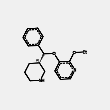 CCOc1ncccc1OC(c1ccccc1)[C@H]1CCCNC1